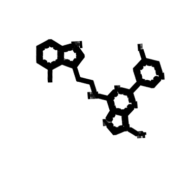 Cc1cccc2[nH]cc(CCNc3nc(-c4cncc(F)c4)nc4c3ncn4C(C)C)c12